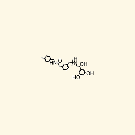 Cc1ccc(CNC(=O)Cc2cccc(CC(C)(C)NC[C@H](O)c3cc(O)cc(O)c3)c2)cc1